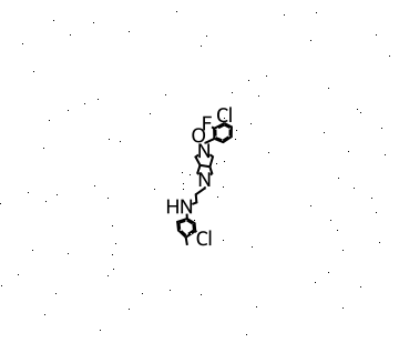 Cc1ccc(NCCCN2CC3CN(C(=O)c4cccc(Cl)c4F)CC3C2)cc1Cl